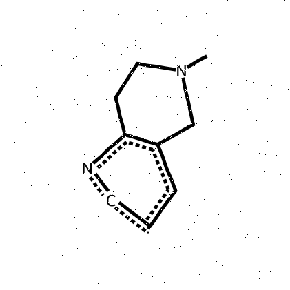 CN1CCc2nc[c]cc2C1